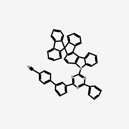 N#Cc1ccc(-c2cccc(-c3nc(-c4ccccc4)nc(-n4c5ccccc5c5c6c(ccc54)C4(c5ccccc5-c5ccccc54)c4ccccc4-6)n3)c2)cc1